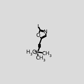 C[Si](C)(C)C#Cc1cnc(I)o1